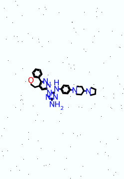 Nc1nc(Nc2ccc(N3CCC(N4CCCC4)CC3)cc2)n(-c2cc3c(nn2)-c2ccccc2OCC3)n1